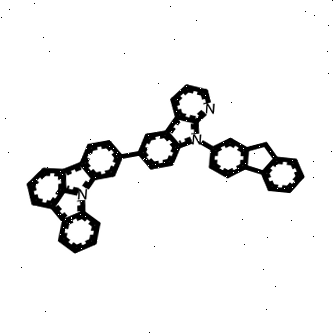 c1ccc2c(c1)Cc1cc(-n3c4ccc(-c5ccc6c7cccc8c9ccccc9n(c6c5)c87)cc4c4cccnc43)ccc1-2